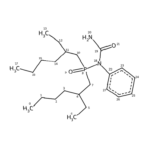 CCCCC(CC)CP(=O)(CC(CC)CCCC)N(C(N)=O)c1ccccc1